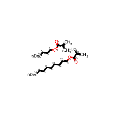 C=C(C)C(=O)OCCCCCCCCCCCCC.C=C(C)C(=O)OCCCCCCCCCCCCCCCCCC